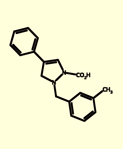 Cc1cccc(CN2CC(c3ccccc3)=CN2C(=O)O)c1